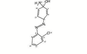 NC1(O)C=CC(/N=N/c2ccccc2Cl)C=C1